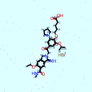 Br.CCOc1cc2c(cc1C(=O)NC)C(=N)N(CC(=O)c1cc(OC(C)C)c(OCCCCC(=O)O)c(N3CCCC3)c1)C2